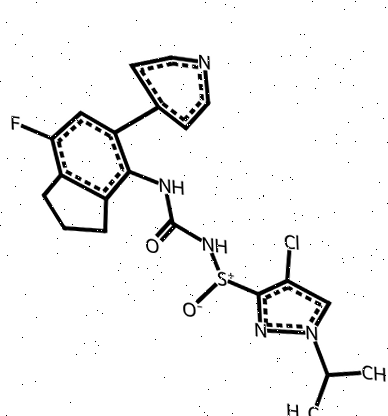 CC(C)n1cc(Cl)c([S+]([O-])NC(=O)Nc2c(-c3ccncc3)cc(F)c3c2CCC3)n1